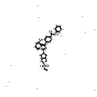 C=CS(=O)(=O)N1CC2CC(c3nc(-c4ccc(C(=O)Nc5ccccc5)cc4)c4c(N)nccn34)CC2C1